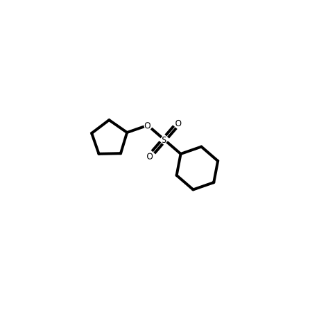 O=S(=O)(OC1CCCC1)C1CCCCC1